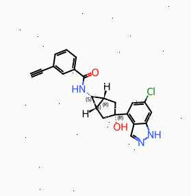 C#Cc1cccc(C(=O)N[C@@H]2[C@@H]3C[C@@](O)(c4cc(Cl)cc5[nH]ncc45)C[C@@H]32)c1